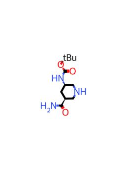 CC(C)(C)OC(=O)N[C@H]1CNC[C@@H](C(N)=O)C1